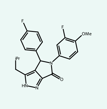 COc1ccc(N2C(=O)c3n[nH]c(CC(C)C)c3C2c2ccc(F)cc2)cc1F